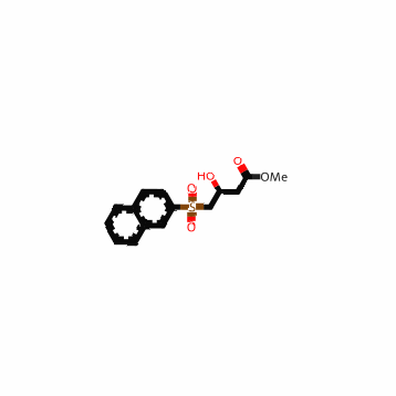 COC(=O)CC(O)CS(=O)(=O)c1ccc2ccccc2c1